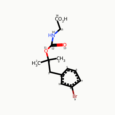 CC(C)(Cc1cccc(Br)c1)OC(=O)NCC(=O)O